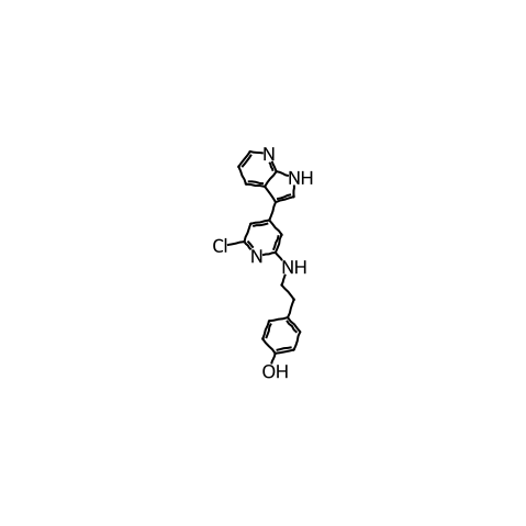 Oc1ccc(CCNc2cc(-c3c[nH]c4ncccc34)cc(Cl)n2)cc1